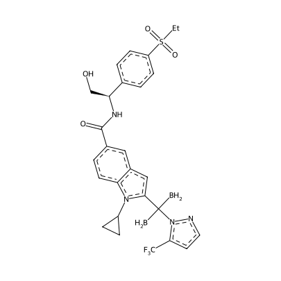 BC(B)(c1cc2cc(C(=O)N[C@@H](CO)c3ccc(S(=O)(=O)CC)cc3)ccc2n1C1CC1)n1nccc1C(F)(F)F